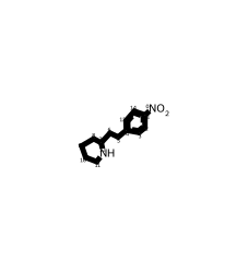 O=[N+]([O-])c1ccc(CCC2CCCCN2)cc1